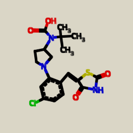 CC(C)(C)N(C(=O)O)C1CCN(c2cc(Cl)ccc2C=C2SC(=O)NC2=O)C1